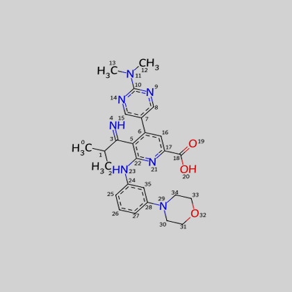 CC(C)C(=N)c1c(-c2cnc(N(C)C)nc2)cc(C(=O)O)nc1Nc1cccc(N2CCOCC2)c1